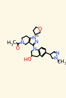 CC(=O)N1CCc2c(c(N3CC(O)Cc4cc(C5C=NN(C)C5)ccc43)nn2[C@H]2CCOC2)C1